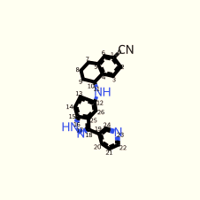 N#Cc1ccc2c(c1)CCCC2Nc1ccc2[nH]nc(-c3cccnc3)c2c1